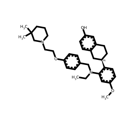 CCN(Cc1ccc(OCCN2CCCC(C)(C)C2)cc1)c1cc(OC)ccc1[C@@H]1CCc2cc(O)ccc2C1